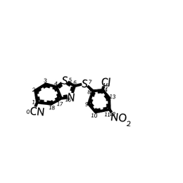 N#Cc1ccc2sc(Sc3ccc([N+](=O)[O-])cc3Cl)nc2c1